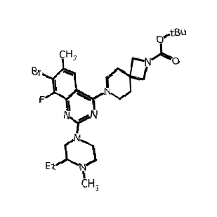 CCC1CN(c2nc(N3CCC4(CC3)CN(C(=O)OC(C)(C)C)C4)c3cc(C)c(Br)c(F)c3n2)CCN1C